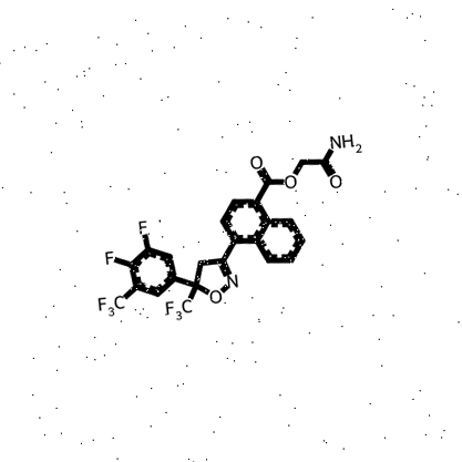 NC(=O)COC(=O)c1ccc(C2=NOC(c3cc(F)c(F)c(C(F)(F)F)c3)(C(F)(F)F)C2)c2ccccc12